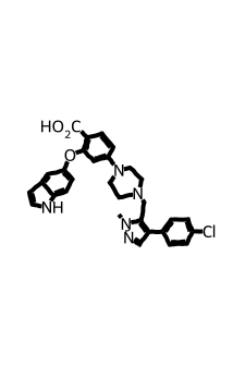 Cn1ncc(-c2ccc(Cl)cc2)c1CN1CCN(c2ccc(C(=O)O)c(Oc3ccc4[nH]ccc4c3)c2)CC1